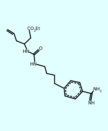 C=CCC(CC(=O)OCC)NC(=O)NCCCCc1ccc(C(=N)N)cc1